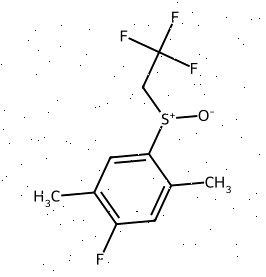 Cc1cc([S+]([O-])CC(F)(F)F)c(C)cc1F